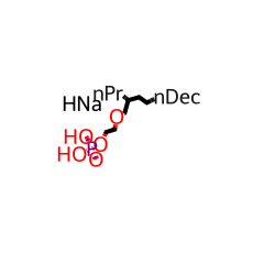 CCCCCCCCCCCCC(CCC)COCCOP(=O)(O)O.[NaH]